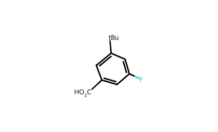 CC(C)(C)c1cc(F)cc(C(=O)O)c1